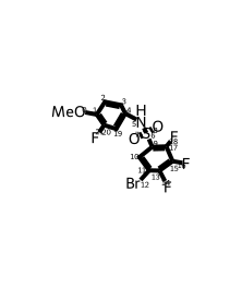 COc1ccc(NS(=O)(=O)c2cc(Br)c(F)c(F)c2F)cc1F